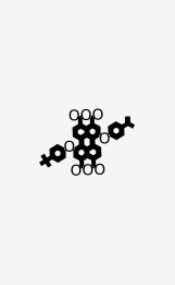 C=C(C)c1ccc(Oc2cc3c4c(ccc5c6c(Oc7ccc(C(C)(C)C)cc7)cc7c8c(ccc(c2c45)c86)C(=O)OC7=O)C(=O)OC3=O)cc1